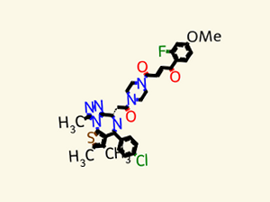 COc1ccc(C(=O)/C=C/C(=O)N2CCN(C(=O)C[C@@H]3N=C(c4ccc(Cl)cc4)c4c(sc(C)c4C)-n4c(C)nnc43)CC2)c(F)c1